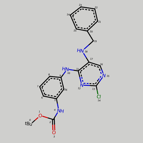 CC(C)(C)OC(=O)Nc1cccc(Nc2nc(Cl)ncc2NCc2ccccc2)c1